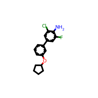 Nc1c(F)cc(-c2cccc(OC3CCCC3)c2)cc1Cl